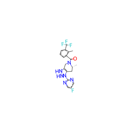 Cc1c(C(=O)N2CC3=C(C[C@H]2C)N(c2ncc(F)cn2)NN3)cccc1C(F)(F)F